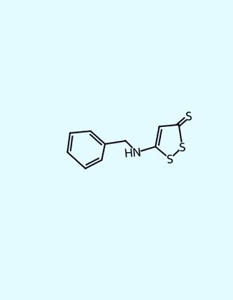 S=c1cc(NCc2ccccc2)ss1